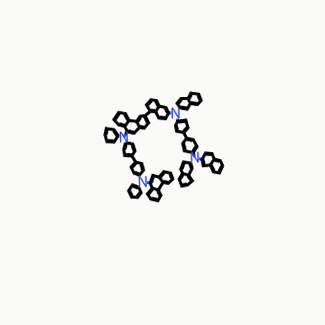 c1ccc(N(c2ccc(-c3ccc(N(c4ccccc4)c4cc5ccc(-c6cccc7cc(N(c8ccc(-c9ccc(N(c%10ccc%11ccccc%11c%10)c%10ccc%11ccccc%11c%10)cc9)cc8)c8ccc9ccccc9c8)ccc67)cc5c5ccccc45)cc3)cc2)c2cc3ccccc3c3ccccc23)cc1